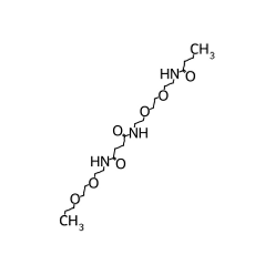 CCCOCCOCCNC(=O)CCC(=O)NCCOCCOCCNC(=O)CCC